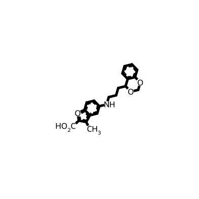 Cc1c(C(=O)O)oc2ccc(NCCCC3OCOc4ccccc43)cc12